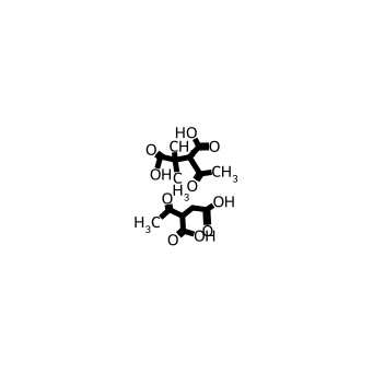 CC(=O)C(C(=O)O)C(C)(C)C(=O)O.CC(=O)C(CC(=O)O)C(=O)O